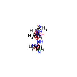 Cc1ncsc1-c1ccc([C@H](C)NC(=O)[C@@H]2C[C@@H](O)CN2C(=O)[C@@H](NC(=O)COCCCCNc2ccc(C(=O)N[C@H]3C(C)(C)[C@H](Oc4ccc(C#N)c(Cl)c4)C3(C)C)cc2)C(C)(C)C)cc1